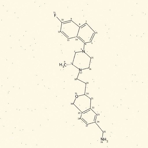 C[C@@H]1CN(c2cccc3cc(F)ccc23)CCN1CCC1Cc2cc(CN)ccc2CO1